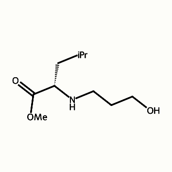 COC(=O)[C@H](CC(C)C)NCCCO